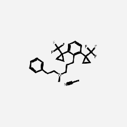 CC#N.CN(CCCc1c(C2(C(F)(F)F)CC2)cccc1C1(C(F)(F)F)CC1)CCc1ccccc1